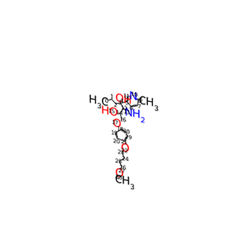 CCCC(O)(c1ccc(C)nc1)C(N)C(O)COc1ccc(OCCCCOC)cc1